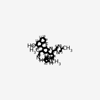 Cc1cnc(-c2nc3c(F)c(-c4cc(O)cc5ccccc45)c(C(C)C#N)cc3c3c2cc(C)n3[C@H]2[C@H]3CN[C@@H]2C3)cn1